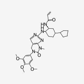 C=CC(=O)N[C@H]1CC(C2CCCC2)CC[C@H]1Nc1ncc2c(n1)N(C)C(=O)N(c1cc(OC)c(OC)c(OC)c1)C2